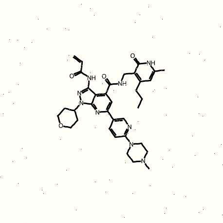 C=CC(=O)Nc1nn(C2CCOCC2)c2nc(-c3ccc(N4CCN(C)CC4)nc3)cc(C(=O)NCc3c(CCC)cc(C)[nH]c3=O)c12